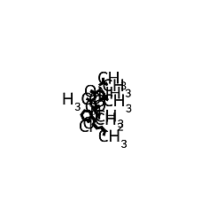 C=C(/C(Cl)=C\C=C/C)[C@]1(N(C)C(=O)OC(C)OC(=O)[C@H](CC(C)C)NC(C)=O)CCCCC1=O